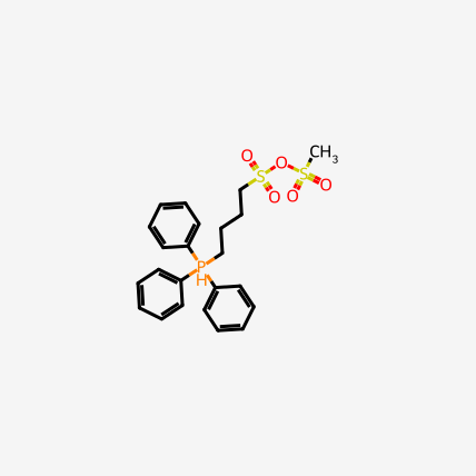 CS(=O)(=O)OS(=O)(=O)CCCC[PH](c1ccccc1)(c1ccccc1)c1ccccc1